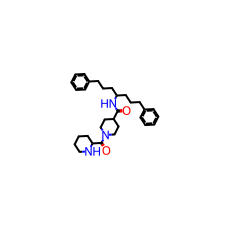 O=C(NC(CCCc1ccccc1)CCCc1ccccc1)C1CCN(C(=O)C2CCCCN2)CC1